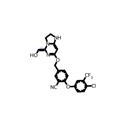 N#Cc1cc(COC2=N/C(=C\O)N3CCNC3=C2)ccc1Oc1ccc(Cl)c(C(F)(F)F)c1